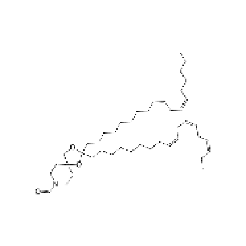 CC/C=C\C/C=C\C/C=C\CCCCCCCCC1(CCCCCCCC/C=C\C/C=C\CCCCC)OCC2(CCN(C=O)CC2)O1